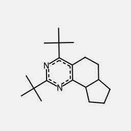 CC(C)(C)c1nc2c(c(C(C)(C)C)n1)CCC1CCCC21